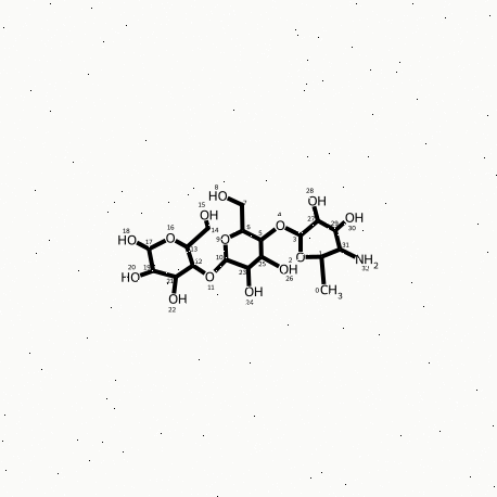 CC1OC(OC2C(CO)OC(OC3C(CO)OC(O)C(O)C3O)C(O)C2O)C(O)C(O)C1N